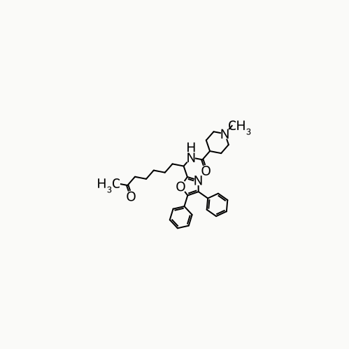 CC(=O)CCCCCC(NC(=O)C1CCN(C)CC1)c1nc(-c2ccccc2)c(-c2ccccc2)o1